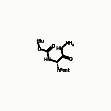 CCCCC[C@H](NC(=O)OC(C)(C)C)C(=O)NN